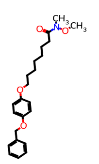 CON(C)C(=O)CCCCCCCOc1ccc(OCc2ccccc2)cc1